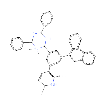 CC1C=CC(c2cc(-c3cc4ccccc4c4ccccc34)cc(C3NC(c4ccccc4)NC(c4ccccc4)[N+]3(C)C)c2)=C(C(C)(C)C)N1